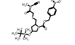 CN(C#N)C(=O)CSCC1CC(O[Si](C)(C)C(C)(C)C)CN1C(=O)OCc1ccc([N+](=O)[O-])cc1